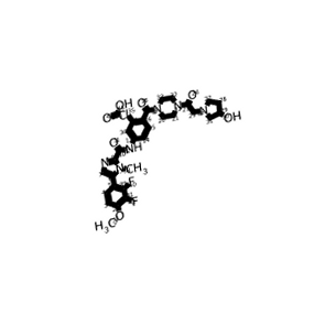 COc1ccc(-c2cnc(C(=O)Nc3ccc(C(=O)N4CCN(C(=O)CN5CCC(O)C5)CC4)c(Cl)c3)n2C)c(F)c1F.O=CO